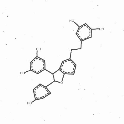 Oc1ccc(C2Oc3ccc(CCc4cc(O)cc(O)c4)cc3C2c2cc(O)cc(O)c2)cc1